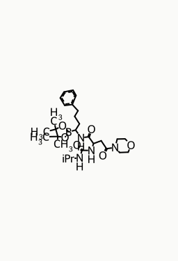 CC(C)NC(=O)NC(CC(=O)N1CCOCC1)C(=O)NC(CCCc1ccccc1)B1OC(C)(C)C(C)(C)O1